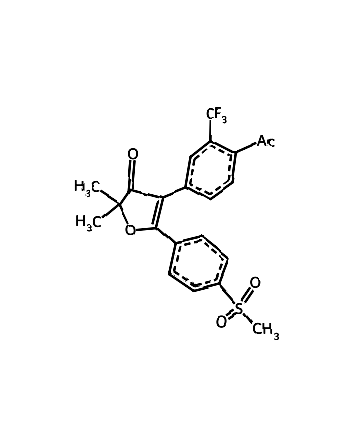 CC(=O)c1ccc(C2=C(c3ccc(S(C)(=O)=O)cc3)OC(C)(C)C2=O)cc1C(F)(F)F